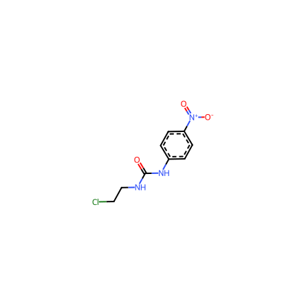 O=C(NCCCl)Nc1ccc([N+](=O)[O-])cc1